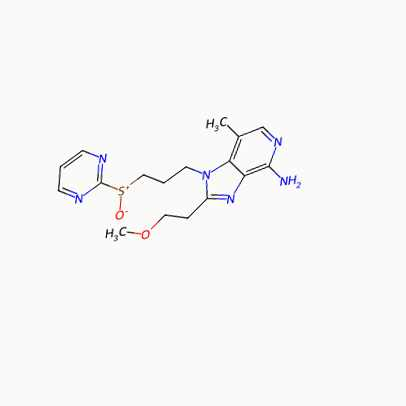 COCCc1nc2c(N)ncc(C)c2n1CCC[S+]([O-])c1ncccn1